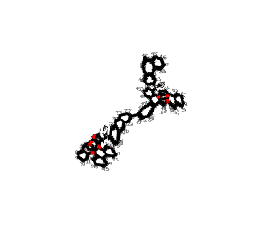 O=P(c1ccc2cc3ccccc3cc2c1)(c1ccc2cc3cc(-c4ccc5c6ccccc6c6c(P(=O)(c7ccc8ccc9ccccc9c8c7)c7ccc8ccc9ccccc9c8c7)cccc6c5c4)ccc3cc2c1)c1cccc2c3ccccc3c3ccccc3c12